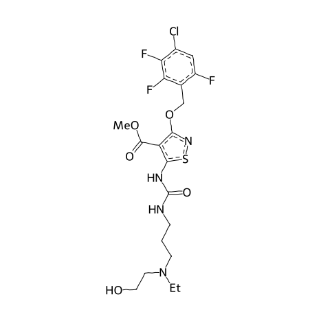 CCN(CCO)CCCNC(=O)Nc1snc(OCc2c(F)cc(Cl)c(F)c2F)c1C(=O)OC